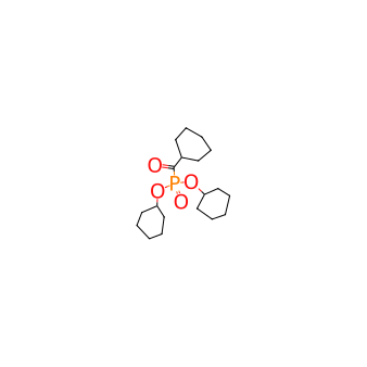 O=C(C1CCCCC1)P(=O)(OC1CCCCC1)OC1CCCCC1